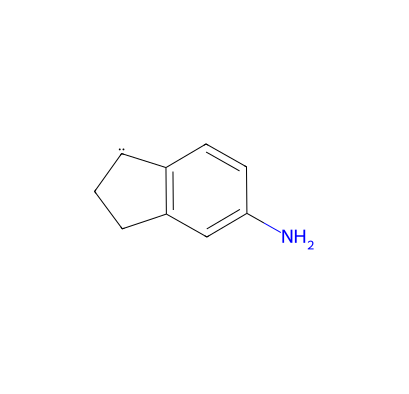 Nc1ccc2c(c1)CC[C]2